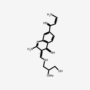 COC(CO)CN/C=C1\C(=N)c2ccc(C(=N)/C=C\N)cc2N=C1N